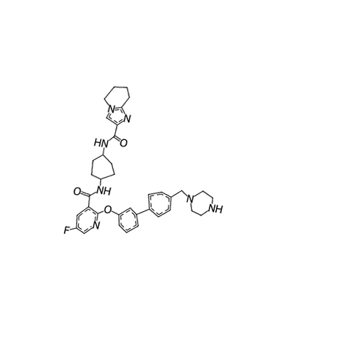 O=C(NC1CCC(NC(=O)c2cc(F)cnc2Oc2cccc(-c3ccc(CN4CCNCC4)cc3)c2)CC1)c1cn2c(n1)CCCC2